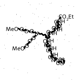 CCOC(=O)CCNC(=O)c1nc(NC(=O)CCNC(=O)c2cc(NC(=O)c3nc(NC(=O)CCNC(=O)c4cc(NC(=O)c5nccn5C)cn4C)cn3C)cn2CCCCCN(CCOCCOCCOCCOC)CCOCCOCCOCCOC)cn1C